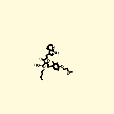 CCCCO[C@H](O)C1=C(Nc2ccc(OCCN(C)C)cc2C)O/C(=C\c2c[nH]c3ncccc23)C1=O